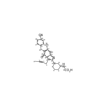 CC#CCn1c(N2CCCC(NC(=O)O)C2)nc2nc(Cl)n(Cc3ccc(C#N)cc3)c(=O)c21